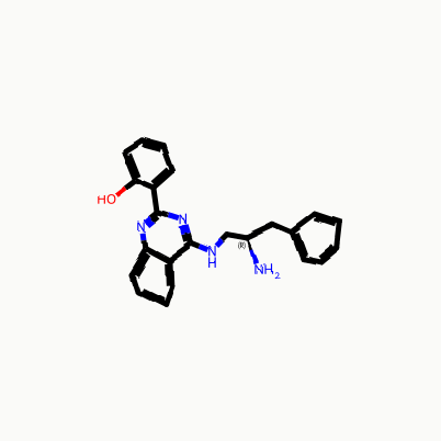 N[C@@H](CNc1nc(-c2ccccc2O)nc2ccccc12)Cc1ccccc1